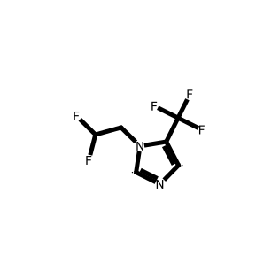 FC(F)Cn1[c]n[c]c1C(F)(F)F